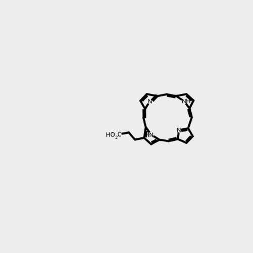 O=C(O)CCc1cc2cc3nc(cc4ccc(cc5nc(cc1[nH]2)C=C5)[nH]4)C=C3